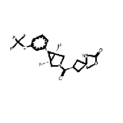 O=C1N[C@]2(CO1)C[C@H](C(=O)N1C[C@@H]3[C@H](C1)[C@H]3c1cccc(OC(F)(F)F)c1)C2